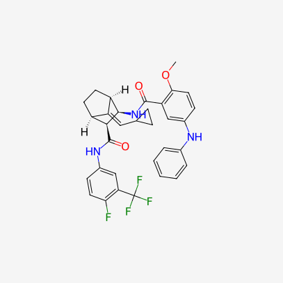 COc1ccc(Nc2ccccc2)cc1C(=O)N[C@H]1[C@@H](C(=O)Nc2ccc(F)c(C(F)(F)F)c2)[C@H]2CC[C@@H]1/C2=C\C1CC1